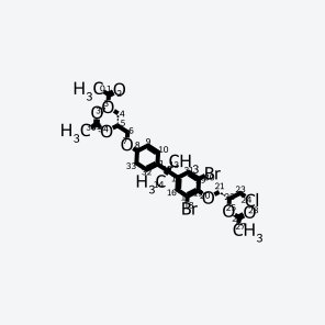 CC(=O)OC[C@H](COC1C=CC(C(C)(C)c2cc(Br)c(OC[C@H](CCl)OC(C)=O)c(Br)c2)=CC1)OC(C)=O